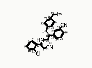 C[C@H](NC(CC#N)c1ccccc1Cl)[C@@H](Cc1ccc(CI)cc1)c1cccc(C#N)c1